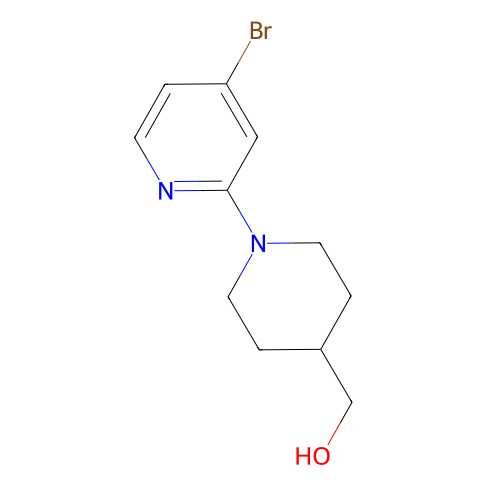 OCC1CCN(c2cc(Br)ccn2)CC1